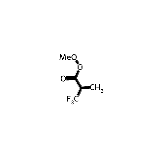 COOC(=O)C(C)C(F)(F)F